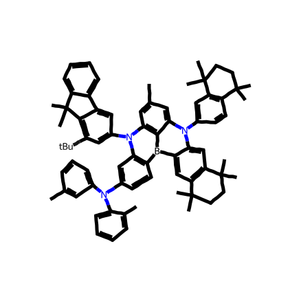 Cc1cccc(N(c2ccc3c(c2)N(c2cc4c(c(C(C)(C)C)c2)C(C)(C)c2ccccc2-4)c2cc(C)cc4c2B3c2cc3c(cc2N4c2ccc4c(c2)C(C)(C)CCC4(C)C)C(C)(C)CCC3(C)C)c2ccccc2C)c1